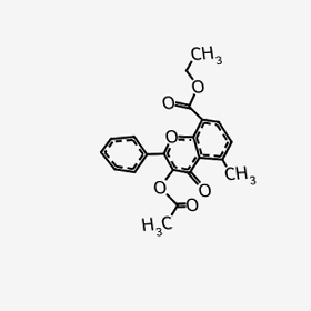 CCOC(=O)c1ccc(C)c2c(=O)c(OC(C)=O)c(-c3ccccc3)oc12